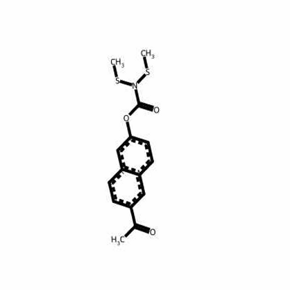 CSN(SC)C(=O)Oc1ccc2cc(C(C)=O)ccc2c1